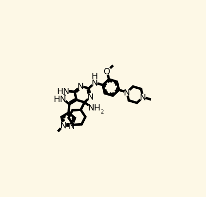 COc1cc(N2CCN(C)CC2)ccc1NC1=NC(N)(C2CCCCC2)C2=C(c3cnn(C)c3)NNC2=N1